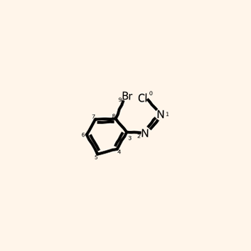 Cl/N=N\c1ccccc1Br